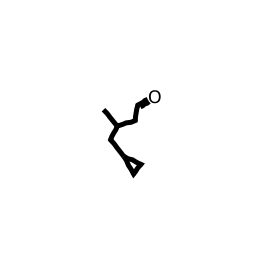 CC(CC=O)CC1CC1